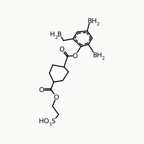 BCc1cc(B)cc(B)c1OC(=O)C1CCC(C(=O)OCCS(=O)(=O)O)CC1